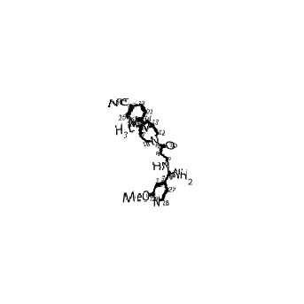 COc1cc([C@H](N)NCCC(=O)N2CC3C[C@H](C)C(C2)N3c2ccc(C#N)cn2)ccn1